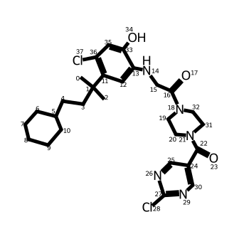 CC(C)(CCC1CCCCC1)c1cc(NCC(=O)N2CCN(C(=O)c3cnc(Cl)nc3)CC2)c(O)cc1Cl